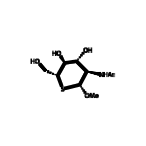 CO[C@@H]1S[C@H](CO)[C@@H](O)[C@H](O)[C@H]1NC(C)=O